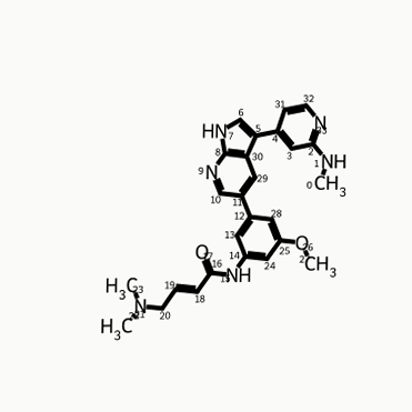 CNc1cc(-c2c[nH]c3ncc(-c4cc(NC(=O)/C=C/CN(C)C)cc(OC)c4)cc23)ccn1